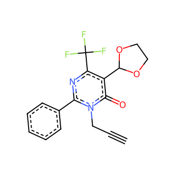 C#CCn1c(-c2ccccc2)nc(C(F)(F)F)c(C2OCCO2)c1=O